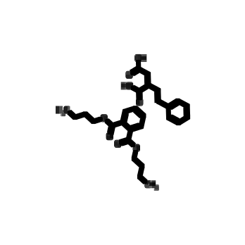 CCCCOC(=O)c1ccccc1C(=O)OCCCC.O=C(O)/C=C(/C=C/c1ccccc1)C(=O)O